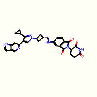 O=C1CCC(N2C(=O)c3ccc(NC[C@H]4C[C@H](n5cc(-c6cc7[nH]ccc7cn6)c(C6CC6)n5)C4)cc3C2=O)C(=O)N1